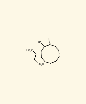 O=C(O)CCC(=O)O.O=C1CCCCCCCCC1S